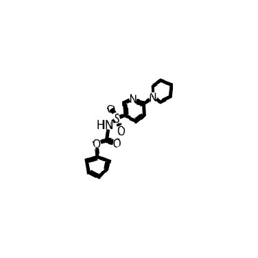 O=C(NS(=O)(=O)c1ccc(N2CCCCC2)nc1)Oc1ccccc1